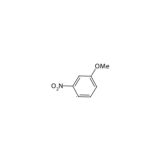 COc1cc[c]c([N+](=O)[O-])c1